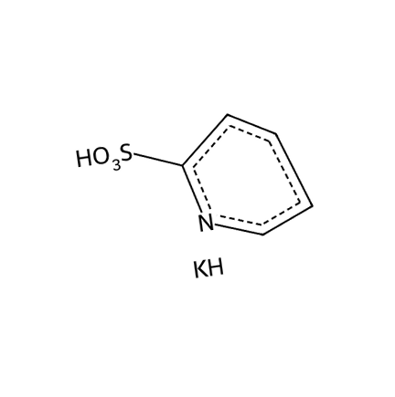 O=S(=O)(O)c1ccccn1.[KH]